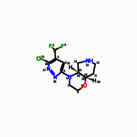 FC(F)c1cc(N2CCO[C@@H]3CCNC[C@@H]32)nnc1Cl